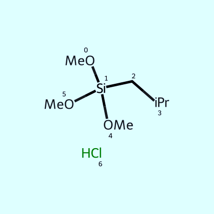 CO[Si](CC(C)C)(OC)OC.Cl